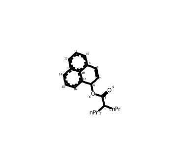 CCCC(CCC)C(=O)OC1C=Cc2cccc3cccc1c23